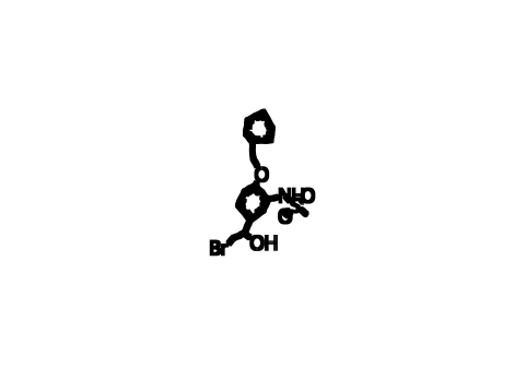 CS(=O)(=O)Nc1cc(C(O)CBr)ccc1OCc1ccccc1